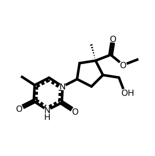 COC(=O)[C@]1(C)CC(n2cc(C)c(=O)[nH]c2=O)CC1CO